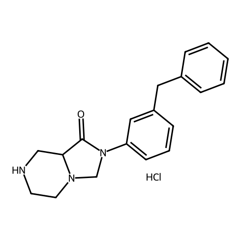 Cl.O=C1C2CNCCN2CN1c1cccc(Cc2ccccc2)c1